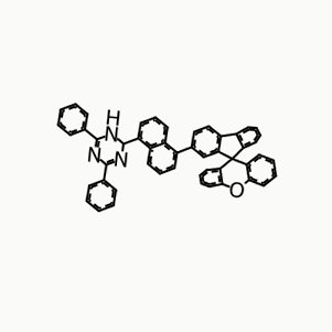 c1ccc(C2=NC(c3cccc4c(-c5ccc6c(c5)C5(c7ccccc7Oc7ccccc75)c5ccccc5-6)cccc34)NC(c3ccccc3)=N2)cc1